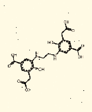 O=C(O)Cc1cc(C(=O)O)cc(NCCNc2cc(C(=O)O)cc(CC(=O)O)c2O)c1O